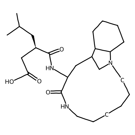 CC(C)C[C@H](CC(=O)O)C(=O)NC1CC2CN(CCCCCCNC1=O)C1CCCCC21